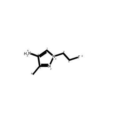 Cc1nn(CCF)cc1N